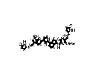 COc1nc(N[C@H]2CCc3c(-c4nccc(-c5ccc6c(CNC[C@H]7CCC(=O)N7)cn(C)c6n5)c4Cl)cccc32)c(C(F)(F)F)nc1CNC[C@H]1CCC(=O)N1